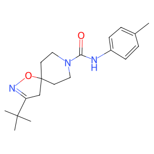 Cc1ccc(NC(=O)N2CCC3(CC2)CC(C(C)(C)C)=NO3)cc1